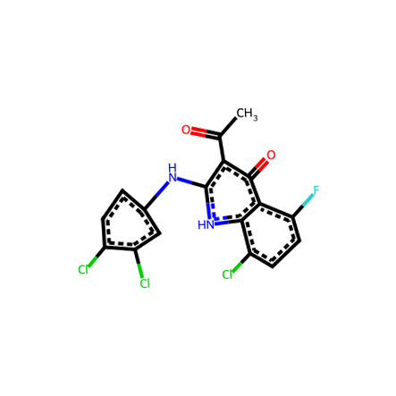 CC(=O)c1c(Nc2ccc(Cl)c(Cl)c2)[nH]c2c(Cl)ccc(F)c2c1=O